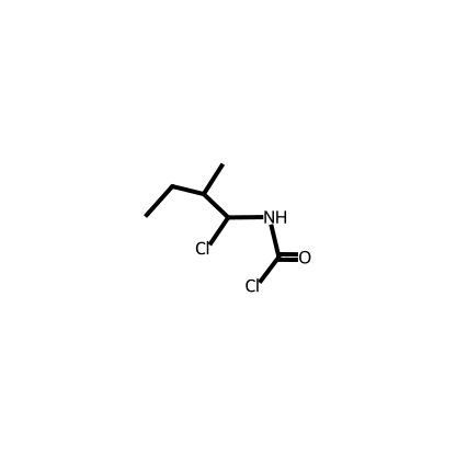 CCC(C)C(Cl)NC(=O)Cl